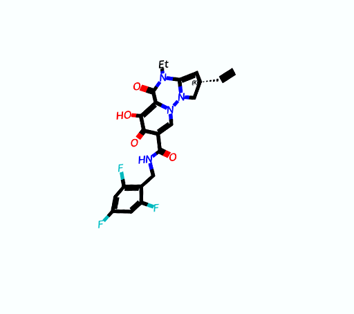 C#C[C@H]1C=C2N(CC)C(=O)c3c(O)c(=O)c(C(=O)NCc4c(F)cc(F)cc4F)cn3N2C1